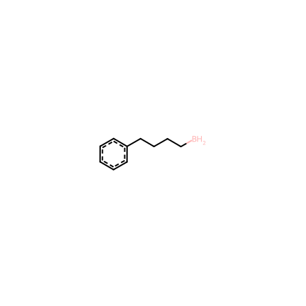 BCCCCc1ccccc1